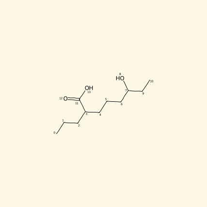 CCCC(CCCC(O)CC)C(=O)O